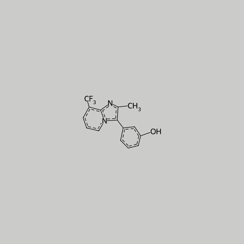 Cc1nc2c(C(F)(F)F)cccn2c1-c1cccc(O)c1